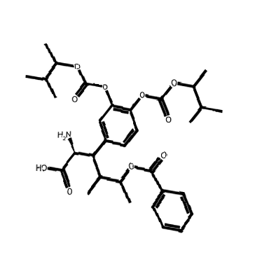 CC(C)C(C)OC(=O)Oc1ccc(C(C(C)C(C)OC(=O)c2ccccc2)[C@H](N)C(=O)O)cc1OC(=O)OC(C)C(C)C